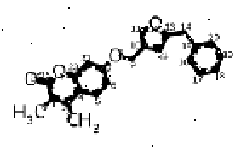 Cc1c(C)c2ccc(OCc3coc(Cc4ccccc4)c3)cc2oc1=O